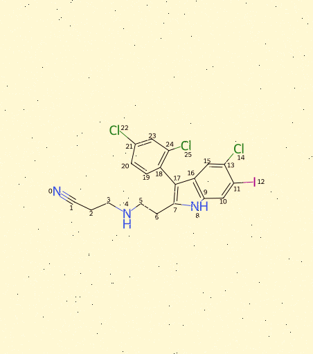 N#CCCNCCc1[nH]c2cc(I)c(Cl)cc2c1-c1ccc(Cl)cc1Cl